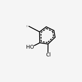 [CH]c1cccc(Cl)c1O